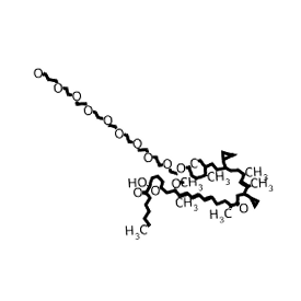 CCCCCCC(=O)[C@@]1(O)CCCC(CC(OC)/C(C)=C/C=C/C=C/CCC(C)C(=O)CC(/C(C)=C/C(C)CCC(CCC2CCC(OCCOCCOCCOCCOCCOCCOCCOCCOCCC=O)CC[C@H]2C)C2CC2)C2CC2)O1